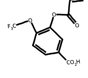 C=CC(=O)Oc1cc(C(=O)O)ccc1OC(F)(F)F